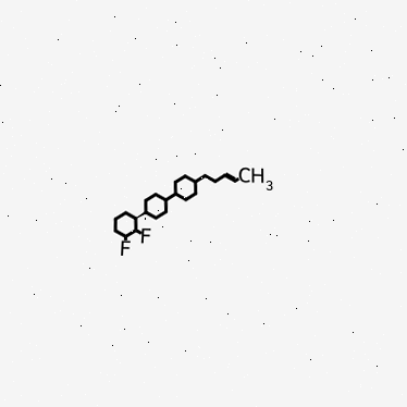 C/C=C/CCC1CCC(C2CCC([C@@H]3CCCC(F)C3F)CC2)CC1